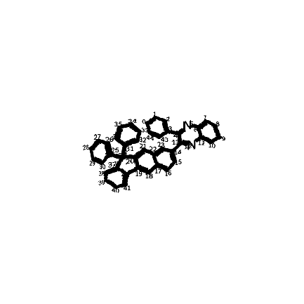 c1ccc(-c2nc3ccccc3nc2-c2ccc3cc4c(cc3c2)C(c2ccccc2)(c2ccccc2)c2ccccc2-4)cc1